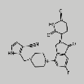 N#Cc1cc[nH]c1CN1CCN(c2cc(F)cc3c2CN(C2CCC(=O)NC2=O)C3=O)CC1